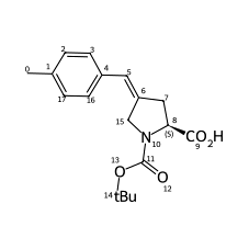 Cc1ccc(C=C2C[C@@H](C(=O)O)N(C(=O)OC(C)(C)C)C2)cc1